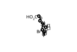 O=C(O)c1cccc(Oc2cccc(-c3nnc(N(Cc4cc(Br)c(CP(=O)(OF)OF)c(Br)c4)c4ccc(Cl)c(Cl)c4)s3)c2)c1